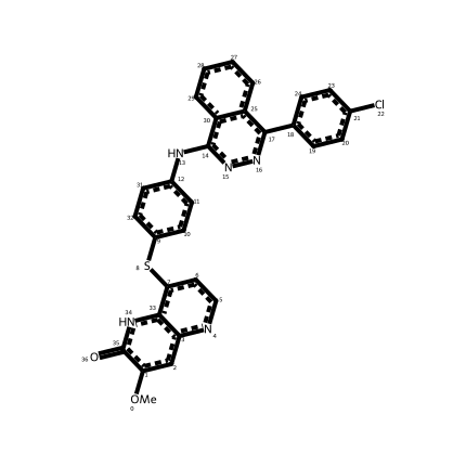 COc1cc2nccc(Sc3ccc(Nc4nnc(-c5ccc(Cl)cc5)c5ccccc45)cc3)c2[nH]c1=O